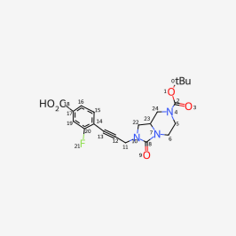 CC(C)(C)OC(=O)N1CCN2C(=O)N(CC#Cc3ccc(C(=O)O)cc3F)CC2C1